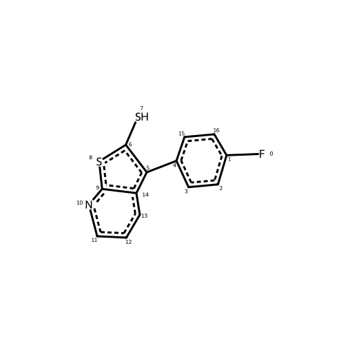 Fc1ccc(-c2c(S)sc3ncccc23)cc1